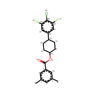 Cc1cc(C)cc(C(=O)OC2CCC(c3cc(F)c(Cl)c(F)c3)CC2)c1